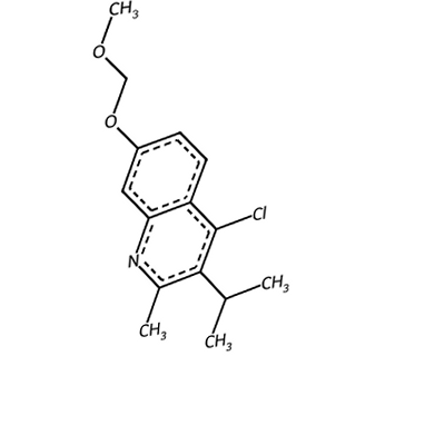 COCOc1ccc2c(Cl)c(C(C)C)c(C)nc2c1